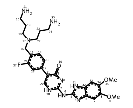 COc1cc2nc(Nc3nc(=O)c(-c4ccc(CN(CCCN)CCCN)c(F)c4)c[nH]3)[nH]c2cc1OC